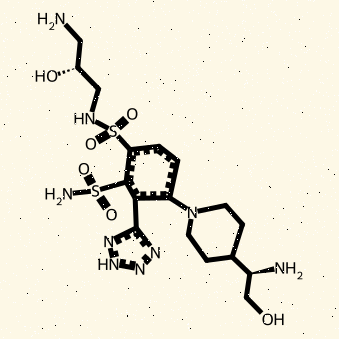 NC[C@@H](O)CNS(=O)(=O)c1ccc(N2CCC([C@@H](N)CO)CC2)c(-c2nn[nH]n2)c1S(N)(=O)=O